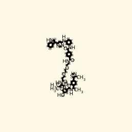 Cc1ncsc1-c1ccc([C@H](C)NC(=O)C2C[C@@H](O)CN2C(=O)[C@@H](NC(=O)CCOCCOCCNC(=O)c2ccc(C(=O)Nc3cccc(Nc4cc(-c5c[nH]c6ccccc56)ncn4)c3)cc2)C(C)(C)C)cc1